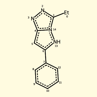 CCc1nnc2cc(-c3ccccc3)[nH]n12